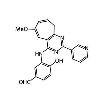 COC1=Cc2c(nc(-c3cccnc3)nc2Nc2cc(C=O)ccc2O)CC=C1